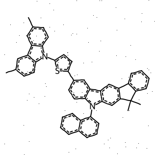 Cc1ccc2c(c1)c1cc(C)ccc1n2-c1ccc(-c2ccc3c(c2)c2cc4c(cc2n3-c2cccc3ccccc23)C(C)(C)c2ccccc2-4)s1